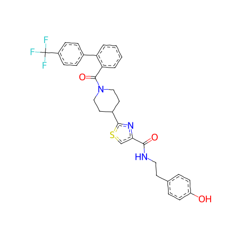 O=C(NCCc1ccc(O)cc1)c1csc(C2CCN(C(=O)c3ccccc3-c3ccc(C(F)(F)F)cc3)CC2)n1